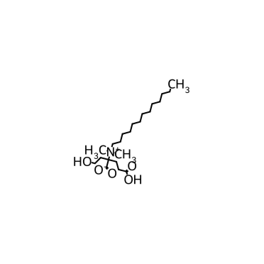 CCCCCCCCCCCCC[N+](C)(C)C(CCO)(CCC(=O)O)C(=O)[O-]